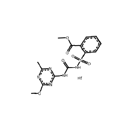 COC(=O)c1ccccc1S(=O)(=O)NC(=O)Nc1nc(C)nc(OC)n1.[Hf]